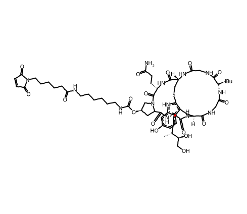 CC[C@H](C)[C@@H]1NC(=O)CNC(=O)[C@@H]2Cc3c([nH]c4cc(O)ccc34)SC[C@@H](NC(=O)CNC1=O)C(=O)N[C@@H](CCC(N)=O)C(=O)N1C[C@H](OC(=O)NCCCCCCNC(=O)CCCCCN3C(=O)C=CC3=O)CC1C(=O)N[C@@H]([C@@H](C)[C@@H](O)CO)C(=O)N2